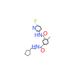 Cc1ccc(C(=O)NCCC2CCCC2)cc1C(=O)Nc1ccc(F)nc1